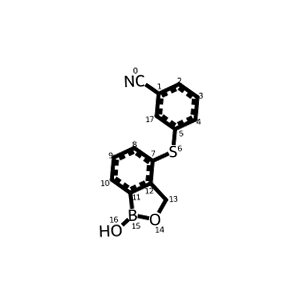 N#Cc1cccc(Sc2cccc3c2COB3O)c1